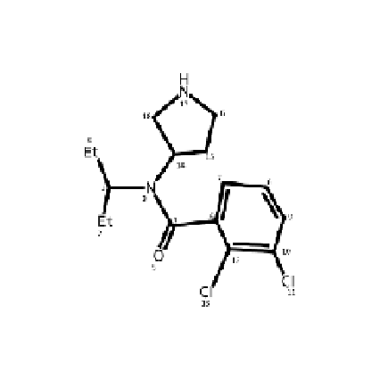 CCC(CC)N(C(=O)c1cccc(Cl)c1Cl)C1CCNC1